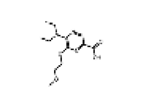 CCN(CC)c1ncc(C(=O)O)nc1OCCOC